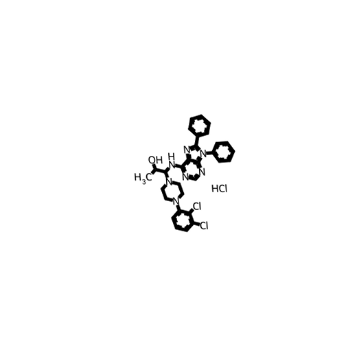 CC(O)C(Nc1ncnc2c1nc(-c1ccccc1)n2-c1ccccc1)N1CCN(c2cccc(Cl)c2Cl)CC1.Cl